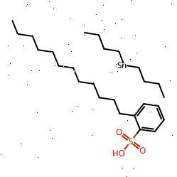 CCCCCCCCCCCCc1ccccc1S(=O)(=O)O.CCC[CH2][Sn][CH2]CCC